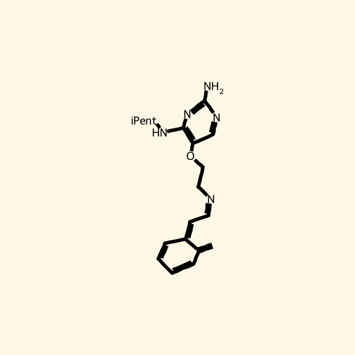 C=c1cccc/c1=C/C=N\CCOc1cnc(N)nc1NC(C)CCC